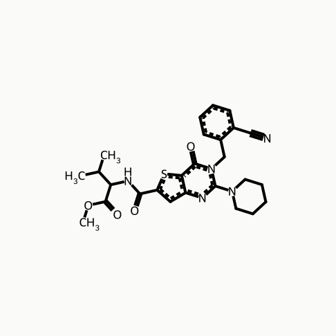 COC(=O)C(NC(=O)c1cc2nc(N3CCCCC3)n(Cc3ccccc3C#N)c(=O)c2s1)C(C)C